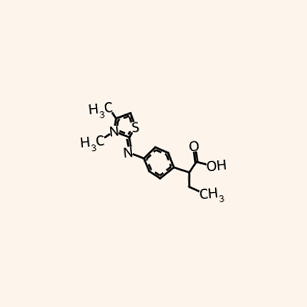 CCC(C(=O)O)c1ccc(/N=c2\scc(C)n2C)cc1